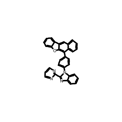 c1cnc(-c2nc3ccccc3n2-c2ccc(-c3c4ccccc4cc4c3oc3ccccc34)cc2)nc1